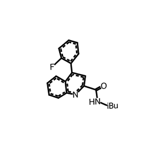 CCC(C)NC(=O)c1cc(-c2ccccc2F)c2ccccc2n1